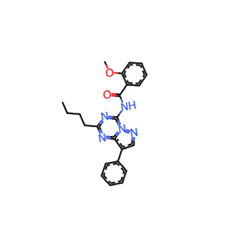 CCCCc1nc(NC(=O)c2ccccc2OC)n2ncc(-c3ccccc3)c2n1